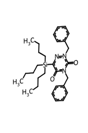 CCCC[Si](CCCC)(CCCC)c1nn(Cc2ccccc2)c(=O)n(Cc2ccccc2)c1=O